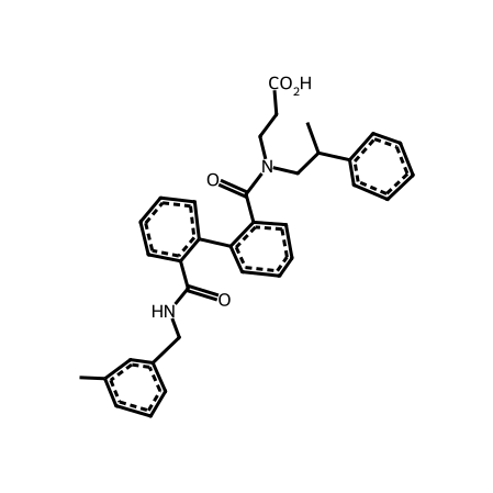 Cc1cccc(CNC(=O)c2ccccc2-c2ccccc2C(=O)N(CCC(=O)O)CC(C)c2ccccc2)c1